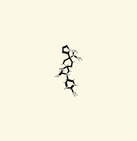 CN(C)[C@]1(c2cccs2)CC[C@]2(CC1)CN(c1cnc(C(F)(F)F)nc1)C(=O)N2